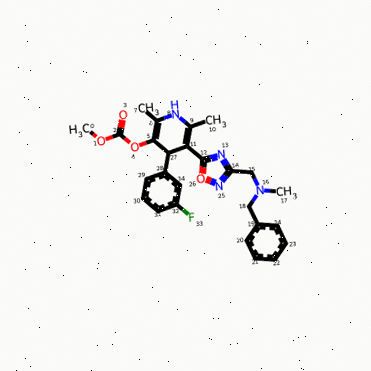 COC(=O)OC1=C(C)NC(C)=C(c2nc(CN(C)Cc3ccccc3)no2)C1c1cccc(F)c1